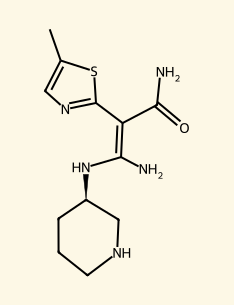 Cc1cnc(/C(C(N)=O)=C(/N)N[C@@H]2CCCNC2)s1